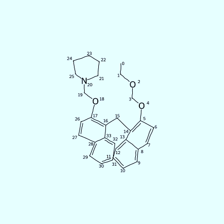 CCOCOc1ccc2ccccc2c1Cc1c(OCN2CCCCC2)ccc2ccccc12